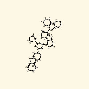 c1ccc(-c2nc(-c3ccc4c(c3)oc3ccccc34)nc(-c3cccc4oc5c(C6Cc7ccccc7-c7ccccc76)cccc5c34)n2)cc1